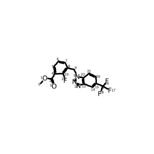 COC(=O)c1cccc(Cn2nnc3cc(C(F)(F)F)ccc32)c1F